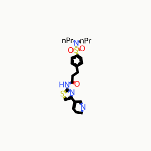 CCCN(CCC)S(=O)(=O)c1ccc(CCC(=O)Nc2nc(C3=CCCN=C3)cs2)cc1